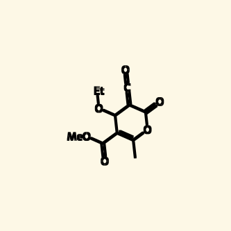 CCOC1C(=C=O)C(=O)OC(C)=C1C(=O)OC